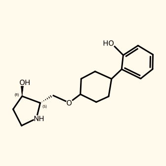 Oc1ccccc1C1CCC(OC[C@@H]2NCC[C@H]2O)CC1